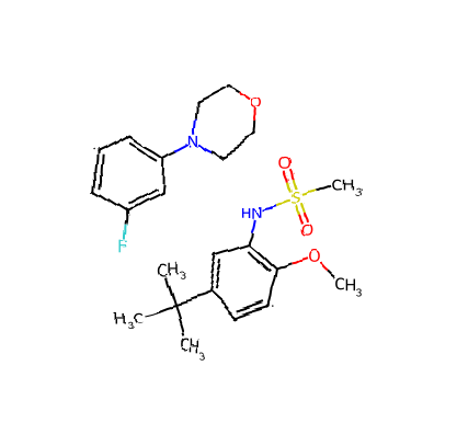 COc1[c]cc(C(C)(C)C)cc1NS(C)(=O)=O.Fc1c[c]cc(N2CCOCC2)c1